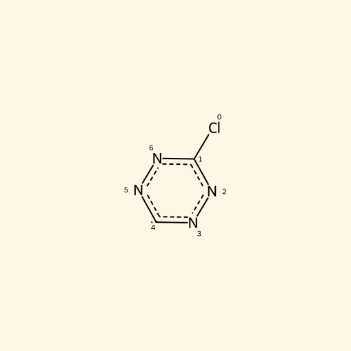 Clc1nn[c]nn1